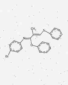 CCc1ccc(N=C(Oc2ccccc2)/C(C)=C/Sc2ccccc2)cc1